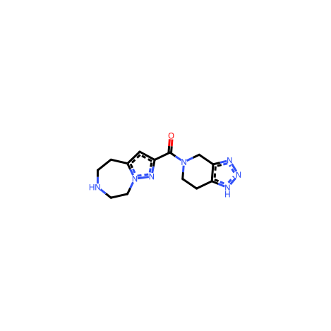 O=C(c1cc2n(n1)CCNCC2)N1CCc2[nH]nnc2C1